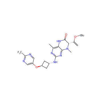 C=C(OC(C)(C)C)[C@H]1C(=O)Nc2c(C)nc(N[C@H]3C[C@H](Oc4cnc(C(F)(F)F)nc4)C3)nc2N1C